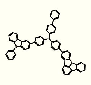 c1ccc(-c2ccc(N(c3ccc(-c4ccc5c(c4)c4ccccc4n5-c4ccccc4)cc3)c3ccc(-c4ccc5c(c4)c4cccc6c7ccccc7n5c64)cc3)cc2)cc1